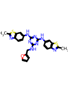 Cc1nc2ccc(Nc3nc(NCc4ccco4)nc(Nc4ccc5nc(C)sc5c4)n3)cc2s1